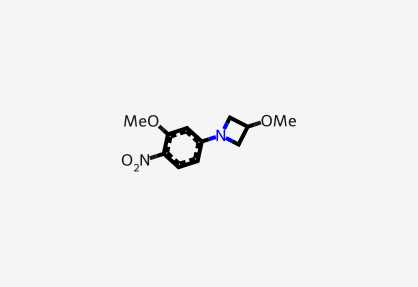 COc1cc(N2CC(OC)C2)ccc1[N+](=O)[O-]